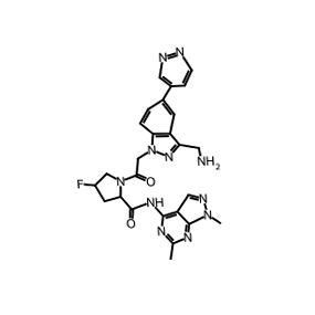 Cc1nc(NC(=O)C2CC(F)CN2C(=O)Cn2nc(CN)c3cc(-c4ccnnc4)ccc32)c2cnn(C)c2n1